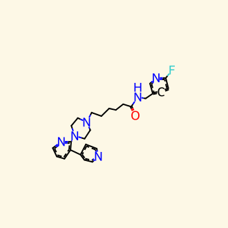 O=C(CCCCCN1CCN(c2ncccc2-c2ccncc2)CC1)NCc1ccc(F)nc1